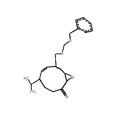 CC(C)C1C=CC(COCOCc2ccccc2)CC2OC2C(=O)CC1